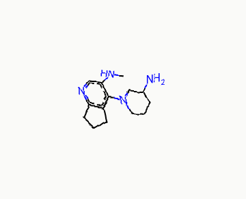 CNc1cnc2c(c1N1CCCC(N)C1)CCC2